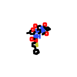 CC(=O)NC1(C(=O)N2CC(=O)C3C2CCN3C(=O)C(CC(C)C)NC(=O)Oc2ccc(-c3ccccc3)s2)CCC1